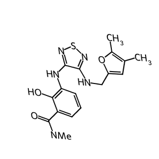 CNC(=O)c1cccc(Nc2nsnc2NCc2cc(C)c(C)o2)c1O